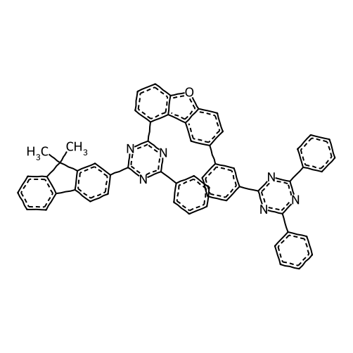 CC1(C)c2ccccc2-c2ccc(-c3nc(-c4ccccc4)nc(-c4cccc5oc6ccc(-c7cccc(-c8nc(-c9ccccc9)nc(-c9ccccc9)n8)c7)cc6c45)n3)cc21